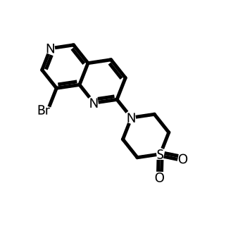 O=S1(=O)CCN(c2ccc3cncc(Br)c3n2)CC1